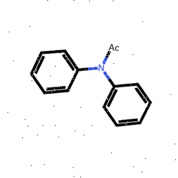 CC(=O)N(c1ccccc1)c1ccccc1